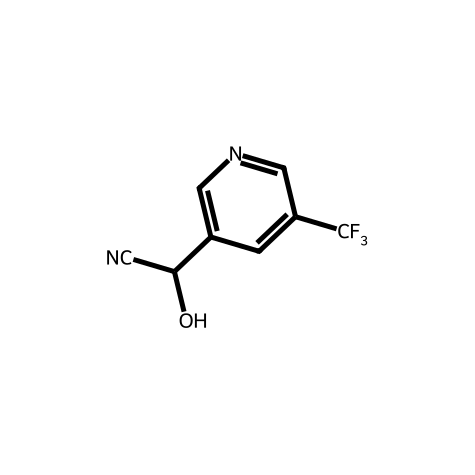 N#CC(O)c1cncc(C(F)(F)F)c1